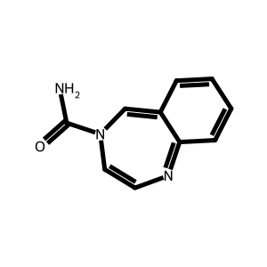 NC(=O)N1C=CN=c2ccccc2=C1